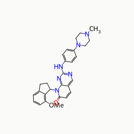 COc1cccc2c1C(n1c(=O)ccc3cnc(Nc4ccc(N5CCN(C)CC5)cc4)nc31)CC2